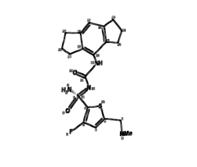 CNCc1cc(F)c([S@@](N)(=O)=NC(=O)Nc2c3c(cc4c2CCC4)CCC3)s1